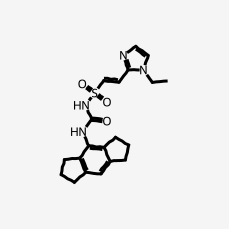 CCn1ccnc1C=CS(=O)(=O)NC(=O)Nc1c2c(cc3c1CCC3)CCC2